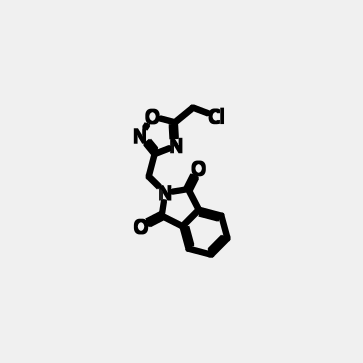 O=C1c2ccccc2C(=O)N1Cc1noc(CCl)n1